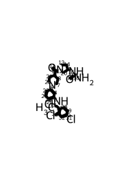 CC(Nc1cc(N2CCC(C(=O)N3CC[C@@H](NC(N)=O)C3)CC2)ccc1Cl)c1ccc(Cl)cc1Cl